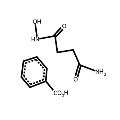 NC(=O)CCC(=O)NO.O=C(O)c1ccccc1